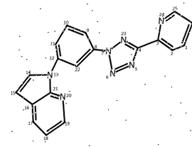 c1ccc(-c2nnn(-c3cccc(-n4ccc5cccnc54)c3)n2)nc1